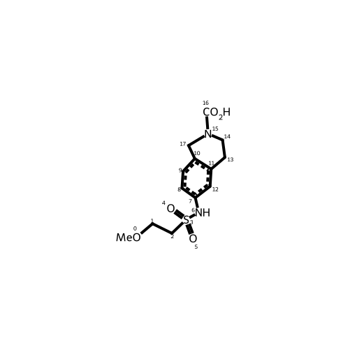 COCCS(=O)(=O)Nc1ccc2c(c1)CCN(C(=O)O)C2